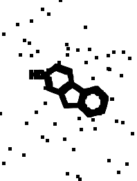 [C]1=[GeH][CH]=CC2=C1Cc1ccccc12